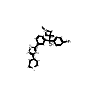 CC(C)c1ccc([C@](O)(c2cccc(-c3nc(C4CCOCC4)no3)c2)C2(C)CN(C)C2)cc1